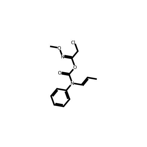 CC=CN(C(=O)OC(CCl)=NOC)c1ccccc1